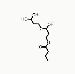 CCCC(=O)OCC[C@H](O)OCCC(O)O